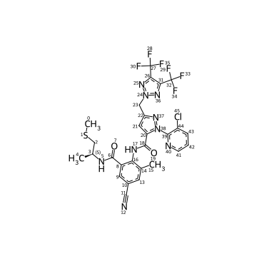 CSC[C@H](C)NC(=O)c1cc(C#N)cc(C)c1NC(=O)c1cc(Cn2nc(C(F)(F)F)c(C(F)(F)F)n2)nn1-c1ncccc1Cl